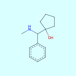 CNC(c1ccccc1)C1(O)CCCC1